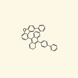 C1=Cc2c(c(-c3ccc(-c4ccccc4)cc3)c3ccccc3c2-c2cccc3oc4ccc(-c5ccccc5)cc4c23)CC1